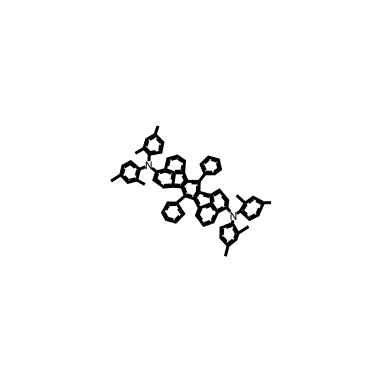 Cc1ccc(N(c2ccc(C)cc2C)c2ccc3c4c(-c5ccccc5)c5c6cccc7c(N(c8ccc(C)cc8C)c8ccc(C)cc8C)ccc(c5c(-c5ccccc5)c4c4cccc2c43)c76)c(C)c1